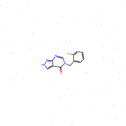 O=c1c2c[nH]nc2ncn1Cc1ccccc1Cl